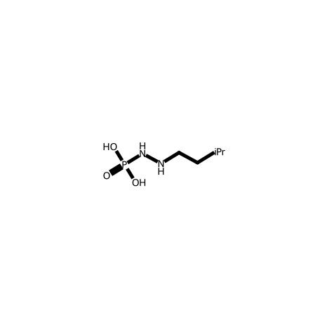 CC(C)CCNNP(=O)(O)O